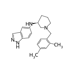 Cc1ccc(CN2CCC[C@H](Nc3ccc4[nH]ncc4c3)C2)c(C)c1